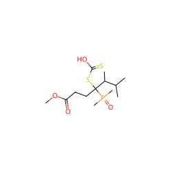 COC(=O)CCC(SC(O)=S)(C(C)C(C)C)P(C)(C)=O